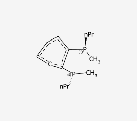 CCC[P@@](C)c1ccccc1[P@](C)CCC